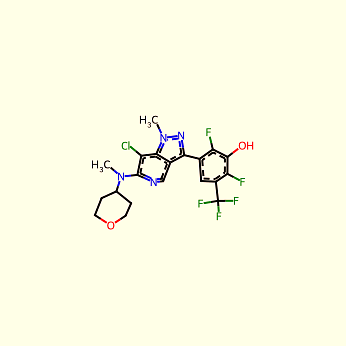 CN(c1ncc2c(-c3cc(C(F)(F)F)c(F)c(O)c3F)nn(C)c2c1Cl)C1CCOCC1